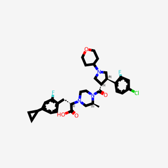 C[C@H]1CN([C@@H](Cc2ccc(C3CC3)cc2F)C(=O)O)CCN1C(=O)[C@@H]1CN(C2CCOCC2)C[C@H]1c1ccc(Cl)cc1F